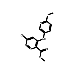 COC(=O)c1nnc(Cl)cc1Nc1ccc(SC)nc1